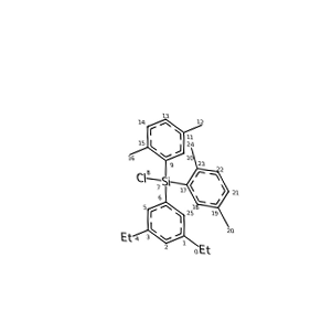 CCc1cc(CC)cc([Si](Cl)(c2cc(C)ccc2C)c2cc(C)ccc2C)c1